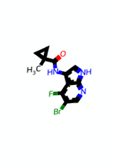 CC1(C(=O)Nc2c[nH]c3ncc(Br)c(F)c23)CC1